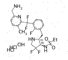 CCS(=O)(=O)N[C@@H]1[C@H](Cc2cccc(C(F)(F)c3nc(CN)ccc3C)c2F)NCC1(F)F.Cl.Cl.Cl